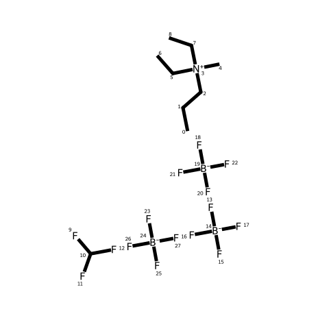 CCC[N+](C)(CC)CC.FC(F)F.F[B-](F)(F)F.F[B-](F)(F)F.F[B-](F)(F)F